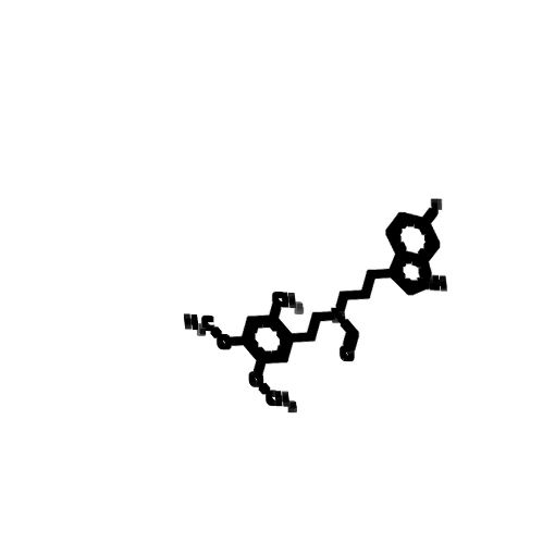 COc1cc(C)c(CCN(C=O)CCCc2c[nH]c3cc(F)ccc23)cc1OC